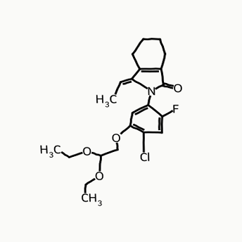 CC=C1C2=C(CCCC2)C(=O)N1c1cc(OCC(OCC)OCC)c(Cl)cc1F